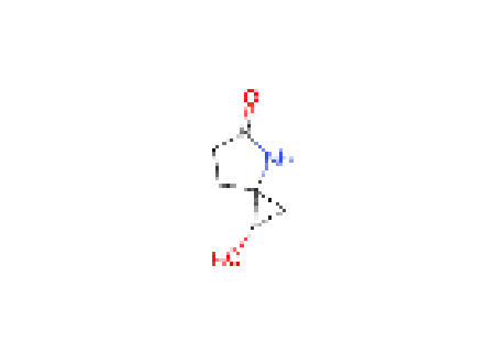 O=C1CCC2(CC2O)N1